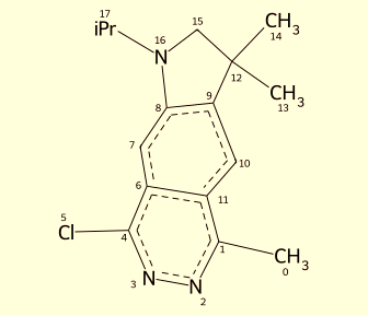 Cc1nnc(Cl)c2cc3c(cc12)C(C)(C)CN3C(C)C